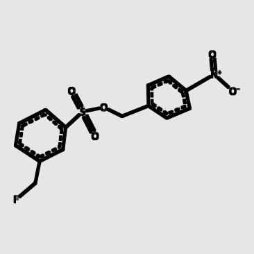 O=[N+]([O-])c1ccc(COS(=O)(=O)c2cccc(CF)c2)cc1